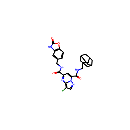 O=C(NCc1ccc2oc(=O)[nH]c2c1)c1cc(C(=O)NCC23CC4CC(CC(C4)C2)C3)n2ncc(F)c2n1